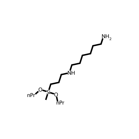 CCCO[Si](C)(CCCNCCCCCCN)OCCC